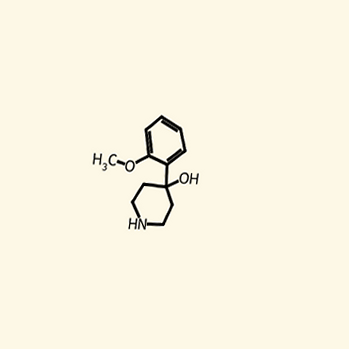 COc1ccccc1C1(O)CCNCC1